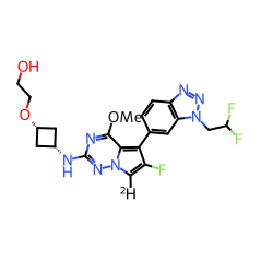 [2H]c1c(F)c(-c2ccc3nnn(CC(F)F)c3c2)c2c(OC)nc(N[C@H]3C[C@@H](OCCO)C3)nn12